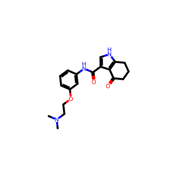 CN(C)CCOc1cccc(NC(=O)c2c[nH]c3c2C(=O)CCC3)c1